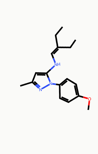 CCC(=CNc1cc(C)nn1-c1ccc(OC)cc1)CC